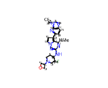 CNc1nc(N[C@H]2CCN(C3COC3)C[C@H]2F)nn2ccc(-c3ccc4ncn(CC(F)(F)F)c4n3)c12